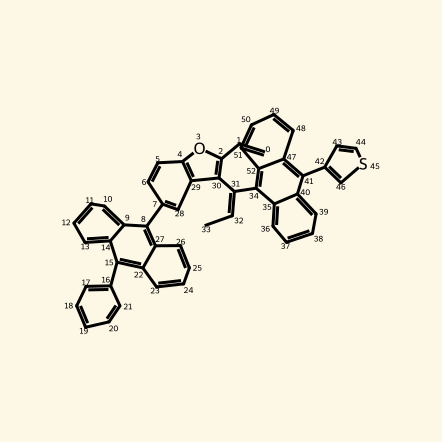 C=Cc1oc2ccc(-c3c4ccccc4c(-c4ccccc4)c4ccccc34)cc2c1/C(=C\C)c1c2ccccc2c(-c2ccsc2)c2ccccc12